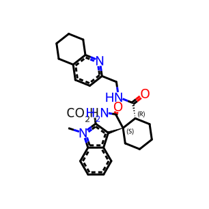 Cn1c(C(=O)O)c([C@]2(C(N)=O)CCCC[C@H]2C(=O)NCc2ccc3c(n2)CCCC3)c2ccccc21